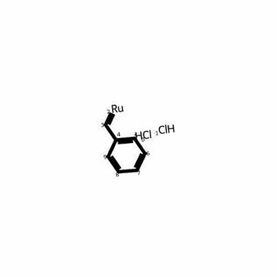 Cl.Cl.[Ru]=[CH]c1ccccc1